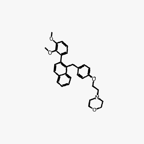 COc1cccc(-c2ccc3ccccc3c2Cc2ccc(OCCN3CCOCC3)cc2)c1OC